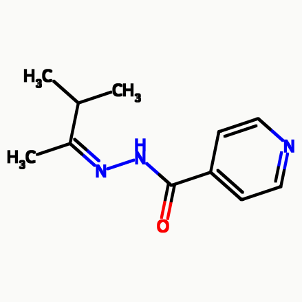 CC(=NNC(=O)c1ccncc1)C(C)C